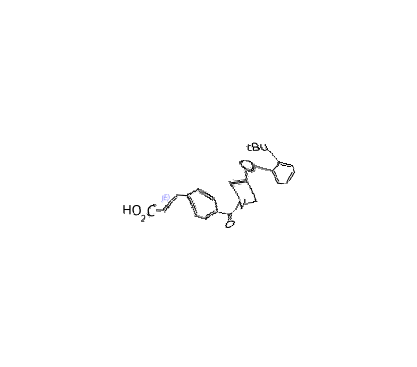 CC(C)(C)c1ccccc1OC1CN(C(=O)c2ccc(/C=C/C(=O)O)cc2)C1